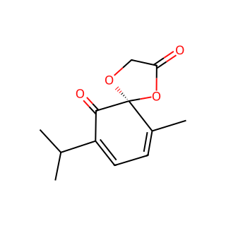 CC1=CC=C(C(C)C)C(=O)[C@]12OCC(=O)O2